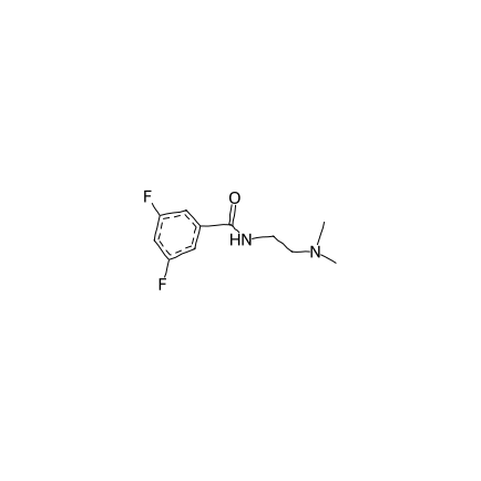 CN(C)CCNC(=O)c1cc(F)cc(F)c1